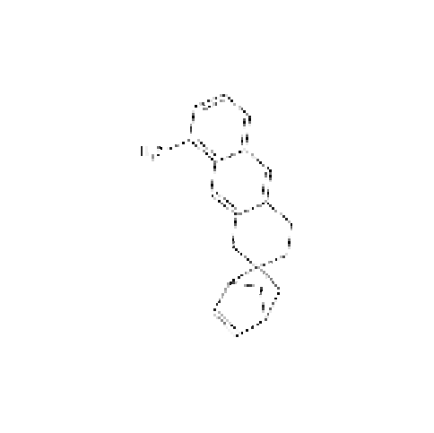 Cc1cccc2cc3c(cc12)CC1(CC3)CC2C=CC1C2